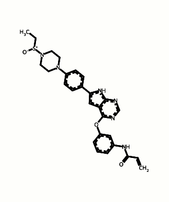 C=CC(=O)Nc1cccc(Oc2ncnc3[nH]c(-c4ccc(N5CCN([S+]([O-])CC)CC5)cc4)cc23)c1